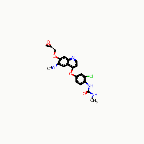 [C-]#[N+]c1cc2c(Oc3ccc(NC(=O)NC)c(Cl)c3)ccnc2cc1OC[C@H]1CO1